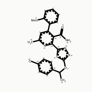 COc1ccccc1-c1cc(C)nc(-c2nnc(OC(C)c3ccc(Cl)cc3)s2)c1C(N)=O